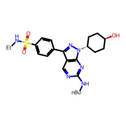 CCCCNc1ncc2c(-c3ccc(S(=O)(=O)NCC)cc3)nn([C@H]3CC[C@H](O)CC3)c2n1